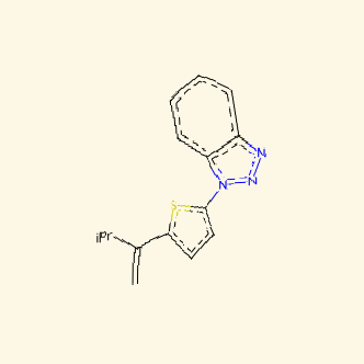 C=C(c1ccc(-n2nnc3ccccc32)s1)C(C)C